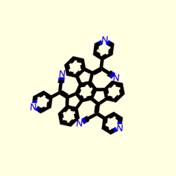 N#C/C(=C1/c2ccccc2-c2c1c1c(c3c2/C(=C(\C#N)c2ccncc2)c2ccccc2-3)/C(=C(\C#N)c2ccncc2)c2ccccc2-1)c1ccncc1